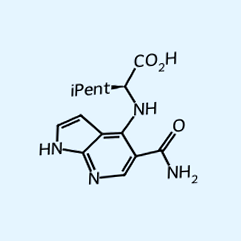 CCCC(C)[C@H](Nc1c(C(N)=O)cnc2[nH]ccc12)C(=O)O